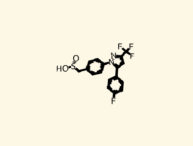 O=S(O)Cc1ccc(-n2nc(C(F)(F)F)cc2-c2ccc(F)cc2)cc1